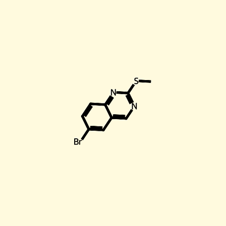 CSc1ncc2cc(Br)ccc2n1